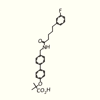 CC(C)(Oc1ccc(-c2ccc(CNC(=O)CCCCc3cccc(F)c3)cc2)cc1)C(=O)O